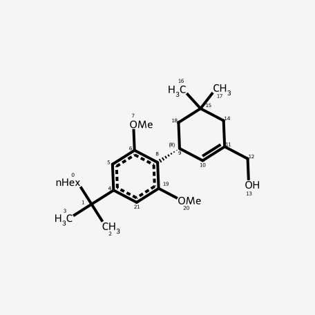 CCCCCCC(C)(C)c1cc(OC)c([C@H]2C=C(CO)CC(C)(C)C2)c(OC)c1